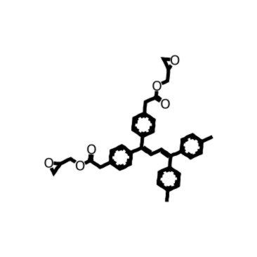 Cc1ccc(C(=CC=C(c2ccc(CC(=O)OCC3CO3)cc2)c2ccc(CC(=O)OCC3CO3)cc2)c2ccc(C)cc2)cc1